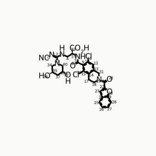 N#C/N=C(/NC[C@H](NC(=O)c1c(Cl)cc2c(c1Cl)CCN(C(=O)c1cc3ccccc3o1)C2)C(=O)O)N1C[C@H](O)C[C@H](O)C1